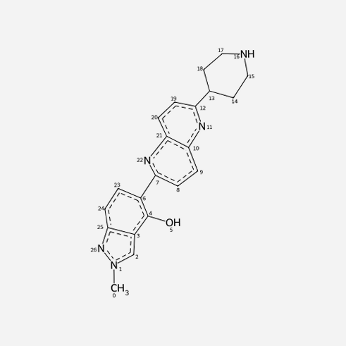 Cn1cc2c(O)c(-c3ccc4nc(C5CCNCC5)ccc4n3)ccc2n1